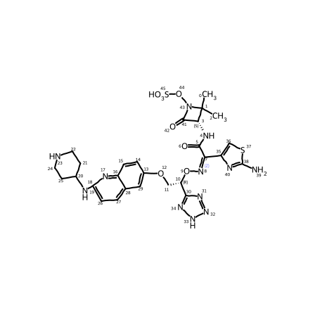 CC1(C)[C@H](NC(=O)/C(=N\O[C@@H](COc2ccc3nc(NC4CCNCC4)ccc3c2)c2nn[nH]n2)c2csc(N)n2)C(=O)N1OS(=O)(=O)O